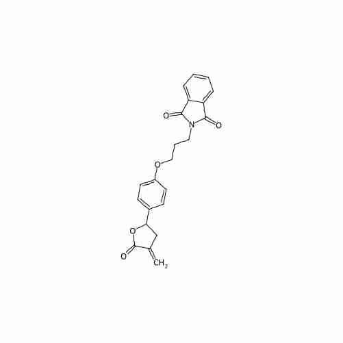 C=C1CC(c2ccc(OCCCN3C(=O)c4ccccc4C3=O)cc2)OC1=O